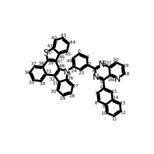 c1cc(-c2nc(-c3ccc4ccccc4c3)c3ncccc3n2)cc(-n2c3ccccc3c3c4ccccc4c4sc5ccccc5c4c32)c1